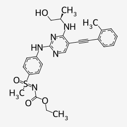 CCOC(=O)N=S(C)(=O)c1ccc(Nc2ncc(C#Cc3ccccc3C)c(N[C@H](C)CO)n2)cc1